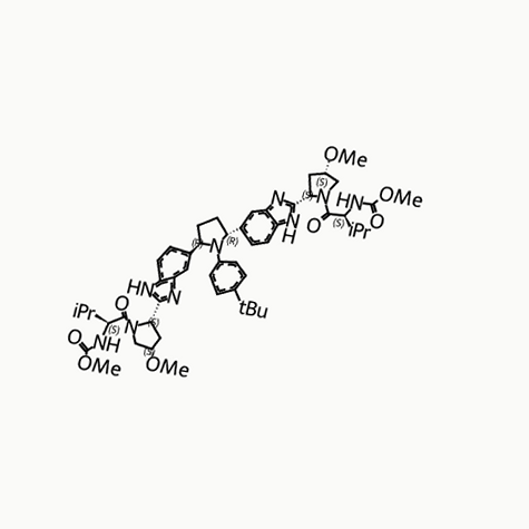 COC(=O)N[C@H](C(=O)N1C[C@@H](OC)C[C@H]1c1nc2cc([C@H]3CC[C@H](c4ccc5[nH]c([C@@H]6C[C@H](OC)CN6C(=O)[C@@H](NC(=O)OC)C(C)C)nc5c4)N3c3ccc(C(C)(C)C)cc3)ccc2[nH]1)C(C)C